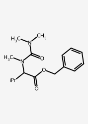 CC(C)C(C(=O)OCc1ccccc1)N(C)C(=O)N(C)C